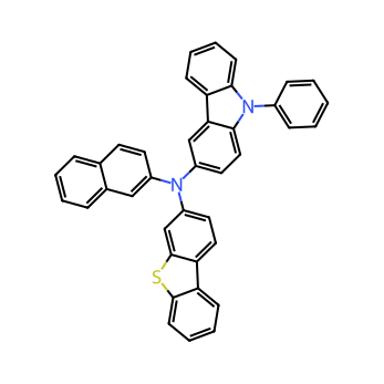 c1ccc(-n2c3ccccc3c3cc(N(c4ccc5ccccc5c4)c4ccc5c(c4)sc4ccccc45)ccc32)cc1